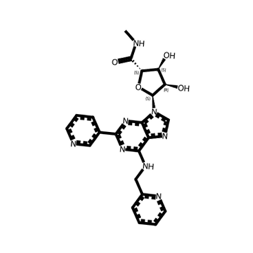 CNC(=O)[C@H]1O[C@H](n2cnc3c(NCc4ccccn4)nc(-c4cccnc4)nc32)[C@H](O)[C@@H]1O